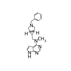 CN(CC1[C@H]2CN(Cc3ccccc3)C[C@@H]12)c1ncnc2[nH]ccc12